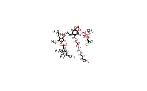 C=CCC1=C(C)C(OC(=O)C2C(C=C(C)C)C2(C)C)CC1=O.CCCCOCCOCCOCc1cc2c(cc1CCC)OCO2.COP(=O)(OC)OC=C(Cl)Cl